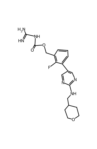 N=C(N)NC(=O)OCc1cccc(-c2cnc(NCC3CCOCC3)nc2)c1F